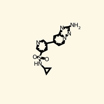 Nc1nc2cc(-c3cncc(S(=O)(=O)NC4CC4)c3)ccn2n1